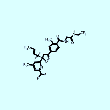 C/C=C/C(F)(F)[C@@]1(c2cc(C(F)(F)F)cc(C(F)F)n2)CC(c2ccc(C(=O)NCC(=O)NCC(F)(F)F)c(C)c2)=NO1